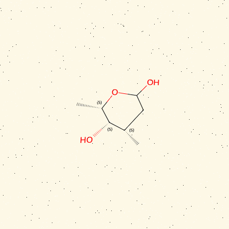 C[C@@H]1OC(O)C[C@H](C)[C@@H]1O